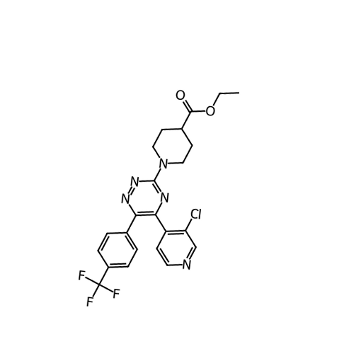 CCOC(=O)C1CCN(c2nnc(-c3ccc(C(F)(F)F)cc3)c(-c3ccncc3Cl)n2)CC1